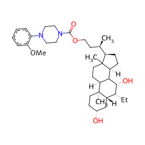 CC[C@H]1[C@@H](O)C2[C@@H]3CC[C@H]([C@H](C)CCOC(=O)N4CCN(c5ccccc5OC)CC4)C3(C)CC[C@@H]2[C@]2(C)CC[C@@H](O)C[C@@H]12